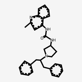 Cc1cc(NC(=O)NC2CCN(C(Cc3ccccc3)Cc3ccccc3)C2)c2ccccc2n1